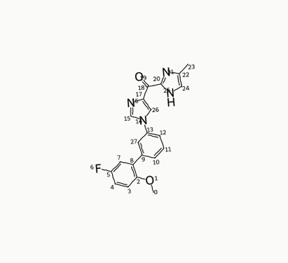 COc1ccc(F)cc1-c1cccc(-n2cnc(C(=O)c3nc(C)c[nH]3)c2)c1